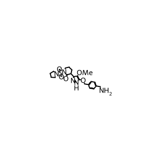 COc1c(C2CCCN(S(=O)(=O)N3CCCC3)C2=O)n[nH]c1OCc1ccc(CN)cc1